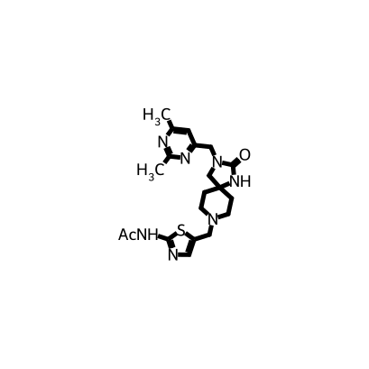 CC(=O)Nc1ncc(CN2CCC3(CC2)CN(Cc2cc(C)nc(C)n2)C(=O)N3)s1